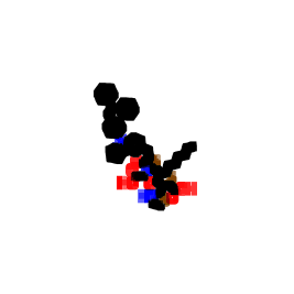 CCCCCCCC(C(=O)C(C(=S)C(=O)O)C1NCCS1)=c1sc(=Cc2ccc3c(c2)C2CCCC2N3c2ccc(C=C(c3ccccc3)c3ccccc3)cc2)c(=O)n1CC(=O)O